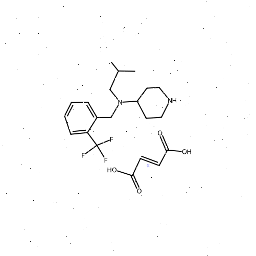 CC(C)CN(Cc1ccccc1C(F)(F)F)C1CCNCC1.O=C(O)/C=C/C(=O)O